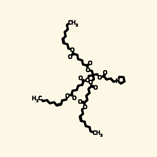 CCCCC/C=C\CCOC(=O)CCCCC(=O)OCC(COC(=O)CCCCC(=O)OCC/C=C\CCCCC)(COC(=O)CCCCC(=O)OCC/C=C\CCCCC)COC(=O)CCCN1CCCC1